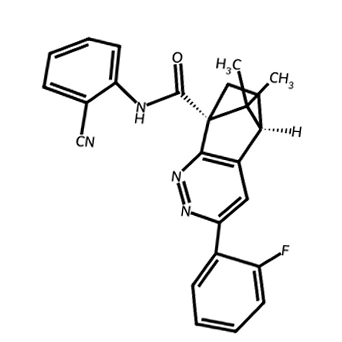 CC1(C)[C@H]2CC[C@]1(C(=O)Nc1ccccc1C#N)c1nnc(-c3ccccc3F)cc12